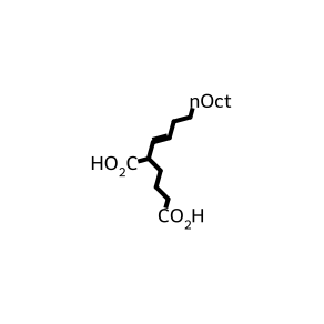 CCCCCCCCCCC=CC(CCCC(=O)O)C(=O)O